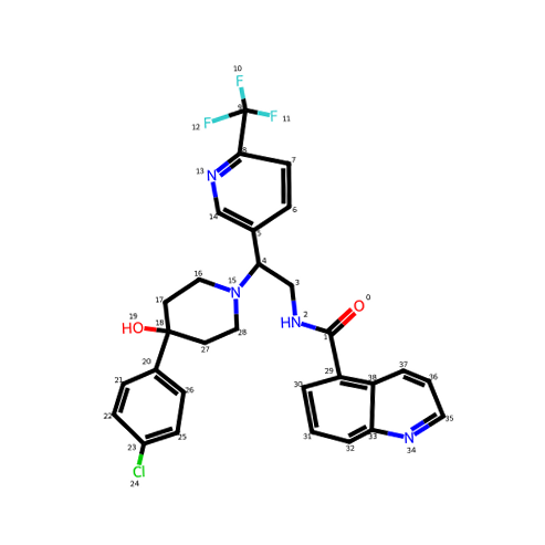 O=C(NCC(c1ccc(C(F)(F)F)nc1)N1CCC(O)(c2ccc(Cl)cc2)CC1)c1cccc2ncccc12